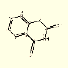 O=C1Cc2ncccc2C(=O)N1